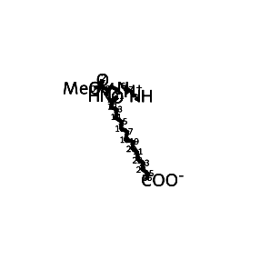 COC(=O)C(CCN=[N+]=N)NC(=O)CCCCCCCCCCCCCCC(=O)[O-]